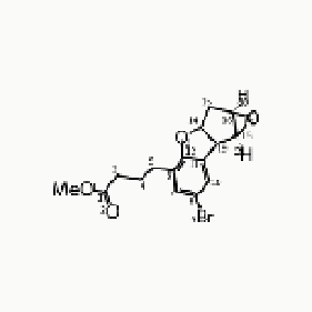 COC(=O)CCCc1cc(Br)cc2c1OC1C[C@H]3O[C@H]3C21